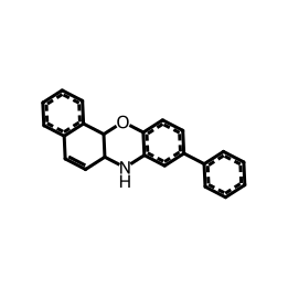 C1=CC2Nc3cc(-c4ccccc4)ccc3OC2c2ccccc21